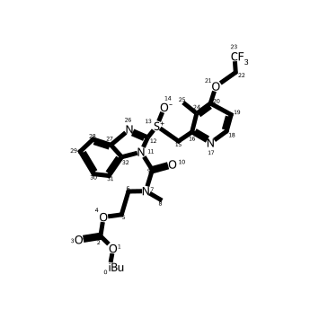 CCC(C)OC(=O)OCCN(C)C(=O)n1c([S+]([O-])Cc2nccc(OCC(F)(F)F)c2C)nc2ccccc21